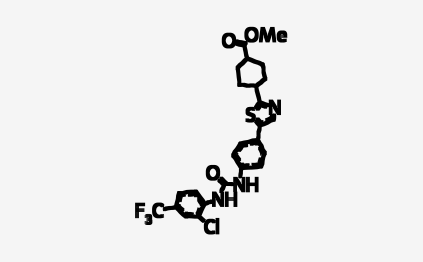 COC(=O)C1CCC(c2ncc(-c3ccc(NC(=O)Nc4ccc(C(F)(F)F)cc4Cl)cc3)s2)CC1